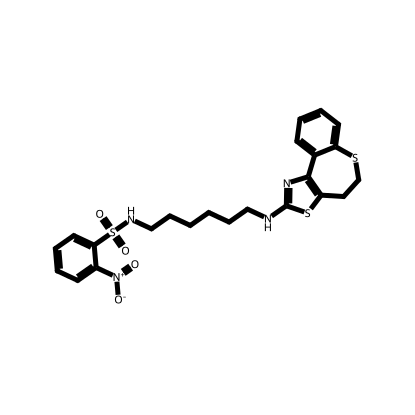 O=[N+]([O-])c1ccccc1S(=O)(=O)NCCCCCCNc1nc2c(s1)CCSc1ccccc1-2